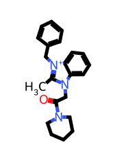 Cc1n(CC(=O)N2CCCCC2)c2ccccc2[n+]1Cc1ccccc1